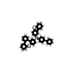 c1ccc(-c2ccc(N(c3ccc4c(c3)-c3ccccc3-c3ccccc3O4)c3ccc4oc5ccccc5c4c3)cc2)cc1